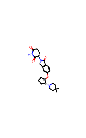 CC1(C)CCN([C@@H]2CCC[C@H]2Oc2ccc3c(c2)CN(C2CCC(=O)NC2=O)C3=O)CC1